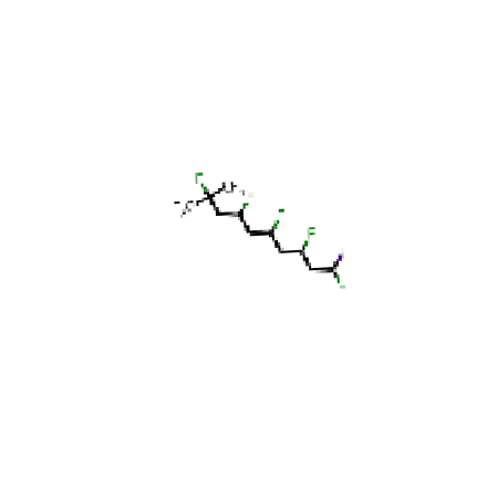 FC(I)CC(F)CC(F)CC(F)CC(F)(C(F)(F)F)C(F)(F)F